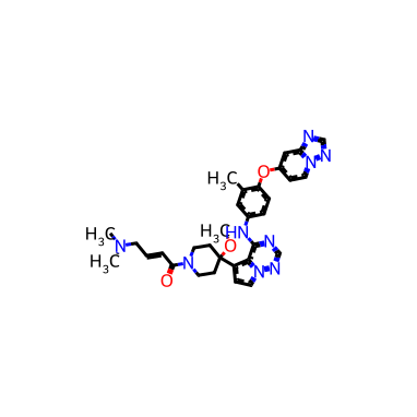 COC1(c2ccn3ncnc(Nc4ccc(Oc5ccn6ncnc6c5)c(C)c4)c23)CCN(C(=O)/C=C/CN(C)C)CC1